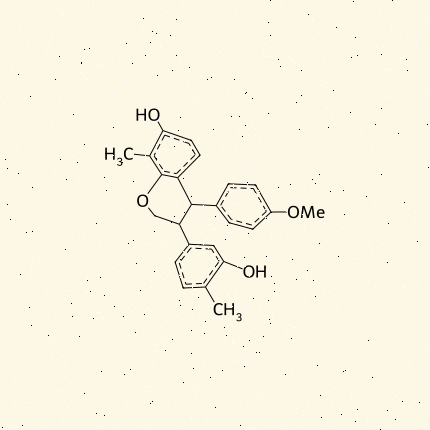 COc1ccc(C2c3ccc(O)c(C)c3OCC2c2ccc(C)c(O)c2)cc1